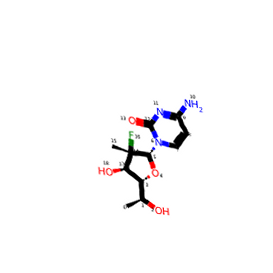 C[C@H](O)[C@H]1O[C@@H](n2ccc(N)nc2=O)[C@@](C)(F)[C@@H]1O